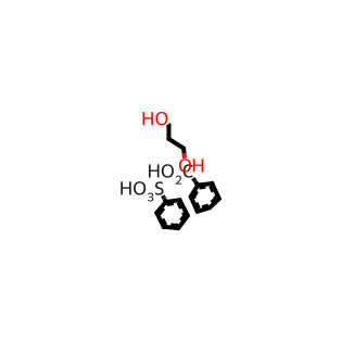 O=C(O)c1ccccc1.O=S(=O)(O)c1ccccc1.OCCCO